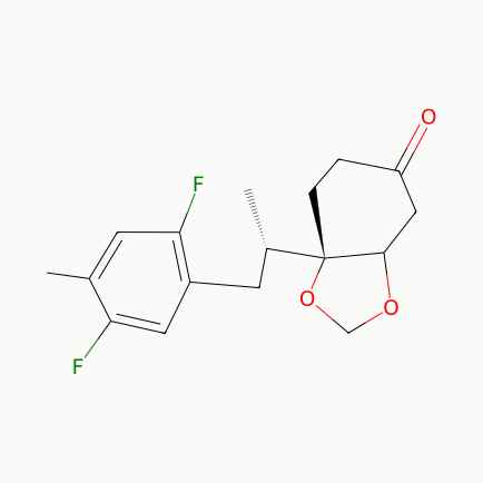 Cc1cc(F)c(C[C@H](C)[C@]23CCC(=O)CC2OCO3)cc1F